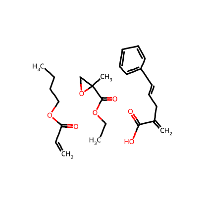 C=C(CC=Cc1ccccc1)C(=O)O.C=CC(=O)OCCCC.CCOC(=O)C1(C)CO1